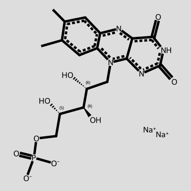 Cc1cc2nc3c(=O)[nH]c(=O)nc-3n(C[C@@H](O)[C@@H](O)[C@@H](O)COP(=O)([O-])[O-])c2cc1C.[Na+].[Na+]